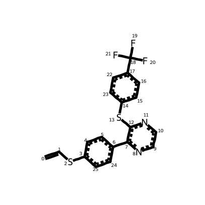 C=CSc1ccc(-c2nccnc2Sc2ccc(C(F)(F)F)cc2)cc1